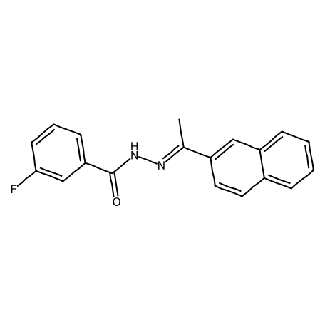 C/C(=N\NC(=O)c1cccc(F)c1)c1ccc2ccccc2c1